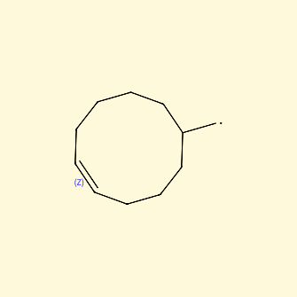 [CH2]C1CCC/C=C\CCCC1